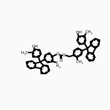 Cc1cc(C2(c3ccc(COC(=O)Oc4ccc(C5(c6ccc(O)c(C)c6)c6ccccc6-c6ccccc65)cc4C)c(C)c3)c3ccccc3-c3ccccc32)ccc1O